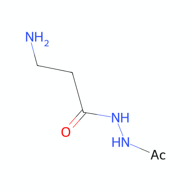 CC(=O)NNC(=O)CCN